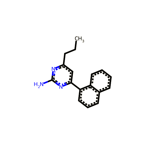 CCCc1cc(-c2cccc3ccccc23)nc(N)n1